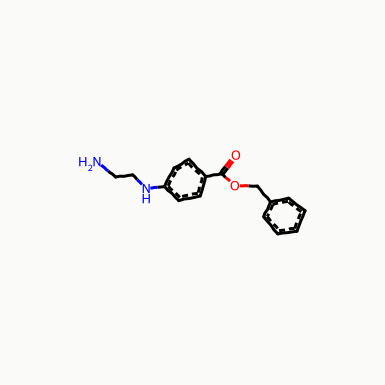 NCCNc1ccc(C(=O)OCc2ccccc2)cc1